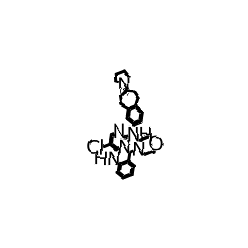 Clc1cnc(Nc2ccc3c(c2)CC[C@@H](N2CCCC2)CC3)nc1Nc1ccccc1CN1CCOCC1